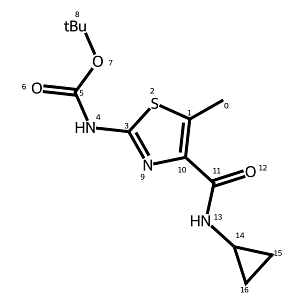 Cc1sc(NC(=O)OC(C)(C)C)nc1C(=O)NC1CC1